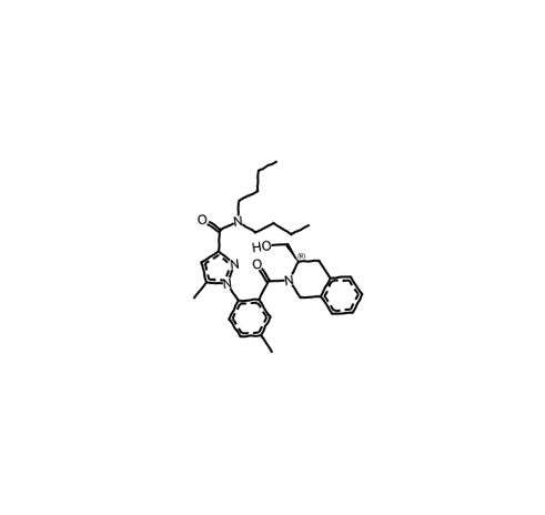 CCCCN(CCCC)C(=O)c1cc(C)n(-c2ccc(C)cc2C(=O)N2Cc3ccccc3C[C@@H]2CO)n1